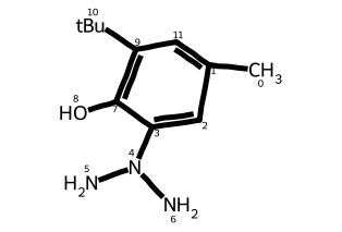 Cc1cc(N(N)N)c(O)c(C(C)(C)C)c1